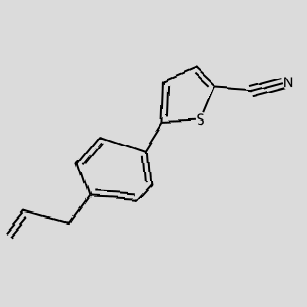 C=CCc1ccc(-c2ccc(C#N)s2)cc1